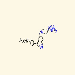 CC(=O)Nc1ccc(-c2cncc3ccc(CN4CCC(N)CC4)cc23)cc1